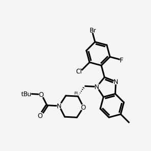 Cc1ccc2c(c1)nc(-c1c(F)cc(Br)cc1Cl)n2C[C@H]1CN(C(=O)OC(C)(C)C)CCO1